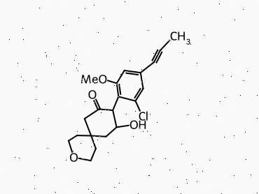 CC#Cc1cc(Cl)c(C2C(=O)CC3(CCOCC3)CC2O)c(OC)c1